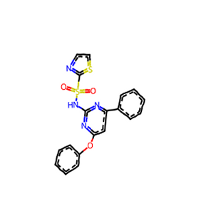 O=S(=O)(Nc1nc(Oc2ccccc2)cc(-c2ccccc2)n1)c1nccs1